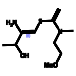 C=C(S/C=C(\N)C(C)O)N(C)CCOC